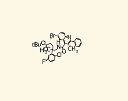 Cc1c(-c2ccccc2)nc2ccc(Br)cc2c1C(=O)NCC(C)(CCC(=O)OC(C)(C)C)c1cc(F)ccc1Cl